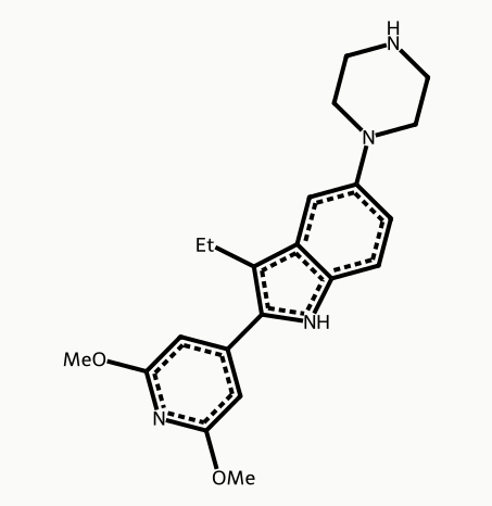 CCc1c(-c2cc(OC)nc(OC)c2)[nH]c2ccc(N3CCNCC3)cc12